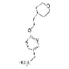 O=C(O)Cc1ccc(OCCC2CCOCC2)nc1